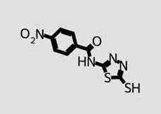 O=C(Nc1nnc(S)s1)c1ccc([N+](=O)[O-])cc1